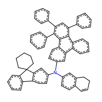 C1=Cc2ccc(N(c3ccc4c(c3)C3(CCCCC3)c3ccccc3-4)c3ccc4c(c3)c3ccccc3c3c(-c5ccccc5)cc(-c5ccccc5)c(-c5ccccc5)c43)cc2CC1